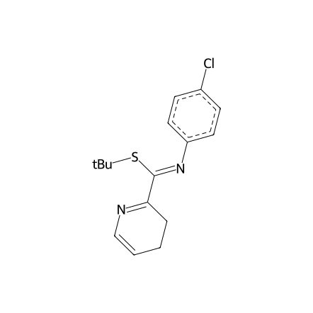 CC(C)(C)SC(=Nc1ccc(Cl)cc1)C1=NC=CCC1